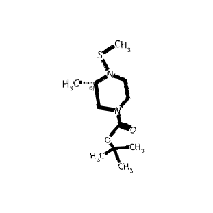 CSN1CCN(C(=O)OC(C)(C)C)C[C@@H]1C